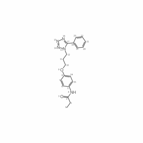 CCC(=O)Nc1ccc(OCCCn2nnnc2-c2ccccc2)cc1